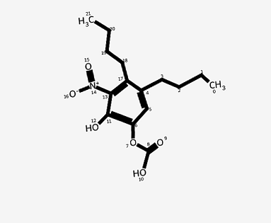 CCCCc1cc(OC(=O)O)c(O)c([N+](=O)[O-])c1CCCC